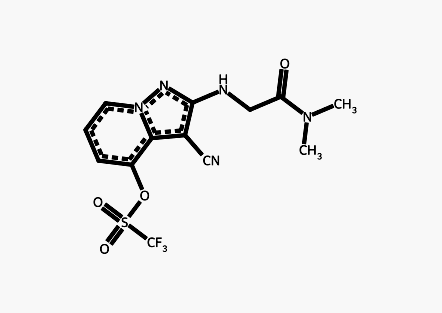 CN(C)C(=O)CNc1nn2cccc(OS(=O)(=O)C(F)(F)F)c2c1C#N